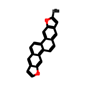 CCCCc1cc2cc3ccc4c5cc6occc6cc5ccc4c3cc2o1